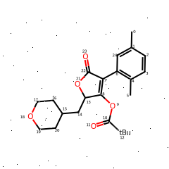 Cc1ccc(C)c(C2=C(OC(=O)C(C)(C)C)C(CC3CCOCC3)OC2=O)c1